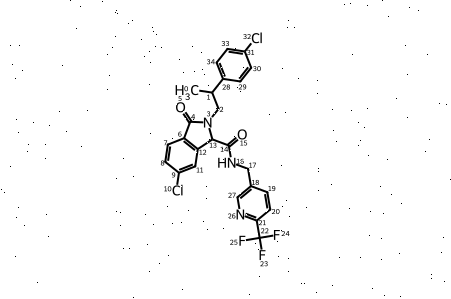 CC(CN1C(=O)c2ccc(Cl)cc2C1C(=O)NCc1ccc(C(F)(F)F)nc1)c1ccc(Cl)cc1